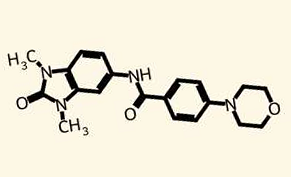 Cn1c(=O)n(C)c2cc(NC(=O)c3ccc(N4CCOCC4)cc3)ccc21